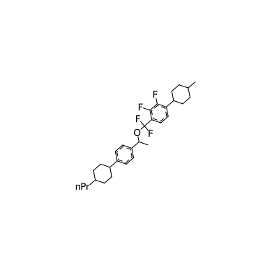 CCCC1CCC(c2ccc(C(C)OC(F)(F)c3ccc(C4CCC(C)CC4)c(F)c3F)cc2)CC1